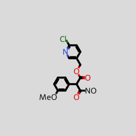 COc1cccc(C(C(=O)N=O)C(=O)OCc2ccc(Cl)nc2)c1